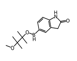 COC(C)(C)C(C)(C)OBc1ccc2c(c1)CC(=O)N2